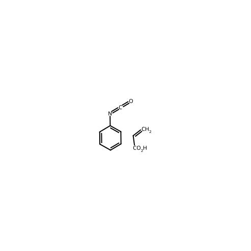 C=CC(=O)O.O=C=Nc1ccccc1